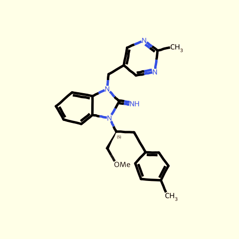 COC[C@H](Cc1ccc(C)cc1)n1c(=N)n(Cc2cnc(C)nc2)c2ccccc21